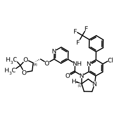 CC1(C)OC[C@@H](COc2cc(NC(=O)N3c4nc(-c5cccc(C(F)(F)F)c5)c(Cl)cc4N4CC[C@H]3C4)ccn2)O1